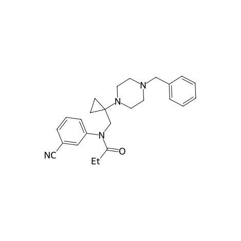 CCC(=O)N(CC1(N2CCN(Cc3ccccc3)CC2)CC1)c1cccc(C#N)c1